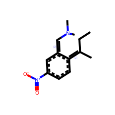 CC/C(C)=c1/ccc([N+](=O)[O-])c/c1=C/N(C)C